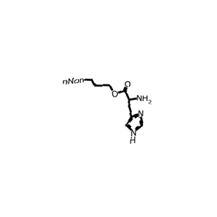 CCCCCCCCCCCCOC(=O)C(N)Cc1c[nH]cn1